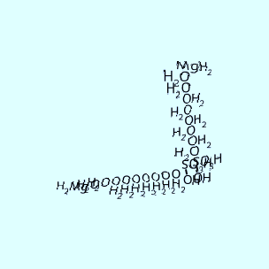 O.O.O.O.O.O.O.O.O.O.O.O.O.O.O.O.O.O=S(=O)(O)O.O=S(=O)(O)O.[MgH2].[MgH2]